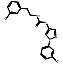 O=C(NCCc1cccc(Cl)c1)Oc1cnn(-c2cccc(Cl)c2)c1